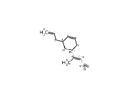 C=CCC1C=CC[C@H](/C(C)=C/[C@@H](C)CC)C1